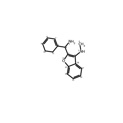 CNc1c(C(N)C2=CC=CCC2)oc2ccccc12